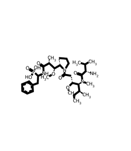 CC[C@H](C)[C@@H]([C@@H](CC(=O)N1CCC[C@H]1[C@H](OC)[C@@H](C)C(=O)NC(Cc1ccccc1)P(=O)(O)O)OC)N(C)C(=O)[C@@H](N)C(C)C